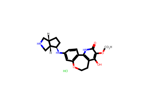 Cl.O=C(O)Oc1c(O)c2c([nH]c1=O)-c1ccc(N[C@@H]3CC[C@H]4CNC[C@H]43)cc1OCC2